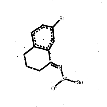 CC(C)(C)[S+]([O-])/N=C1\CCCc2ccc(Br)cc21